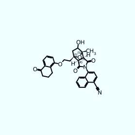 C[C@@]12O[C@@](CCOc3cccc4c3CCCC4=O)(CC1O)[C@@H]1C(=O)N(c3ccc(C#N)c4ccccc34)C(=O)[C@@H]12